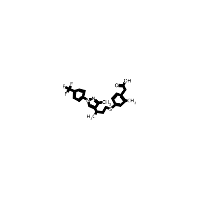 Cc1cc(SCCC(C)c2cn(-c3ccc(C(F)(F)F)cc3)nc2C)ccc1CC(=O)O